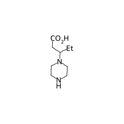 CCC(CC(=O)O)N1CCNCC1